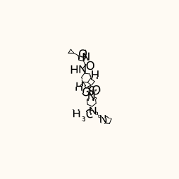 CN(CCN1CCCC1)C1CCN(S(=O)(=O)C23C[C@H]4C[C@@H](NC(=O)c5cc(C6CC6)on5)C[C@@H](C2)C43)CC1